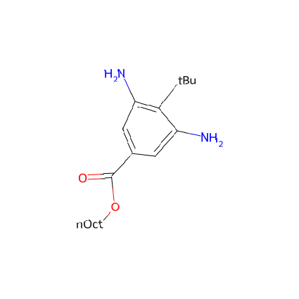 CCCCCCCCOC(=O)c1cc(N)c(C(C)(C)C)c(N)c1